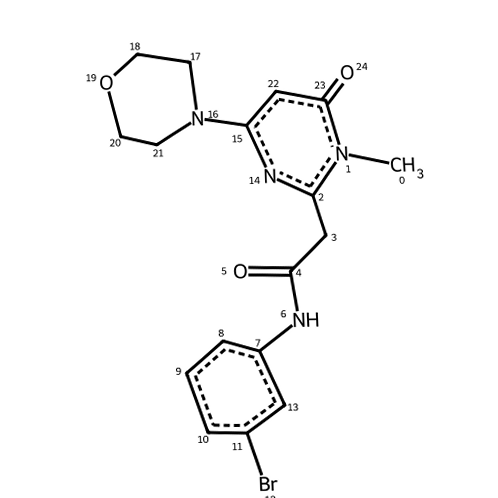 Cn1c(CC(=O)Nc2cccc(Br)c2)nc(N2CCOCC2)cc1=O